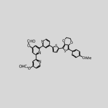 COc1ccc(-c2sc(-c3ccc(-c4ccnc(-c5cc(OC=O)cc(-c6cc(OC=O)ccn6)n5)c4)s3)c3c2OCCO3)cc1